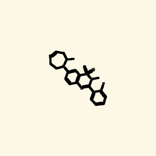 CC1CC=NCCN1c1ccc2c(c1)S(=O)(=O)N(C)C(c1ccccc1F)=N2